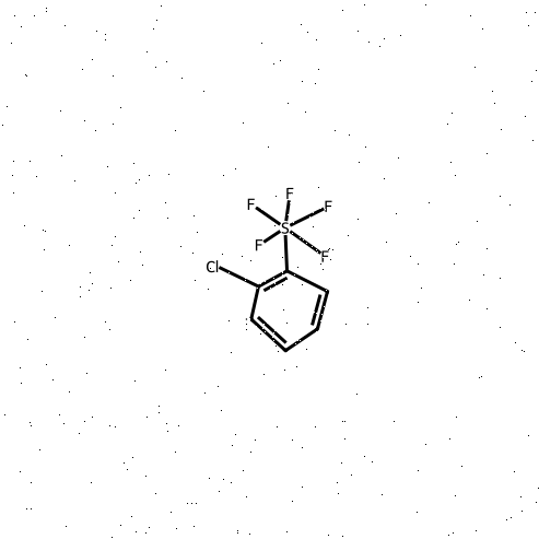 FS(F)(F)(F)(F)c1ccc[c]c1Cl